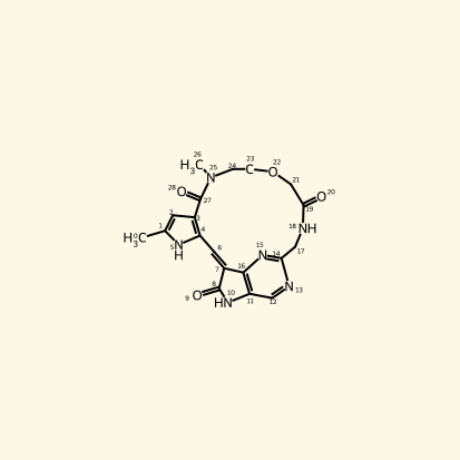 Cc1cc2c([nH]1)/C=C1\C(=O)Nc3cnc(nc31)CNC(=O)COCCN(C)C2=O